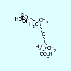 CC(C)(CCCCOCCCCC(C)(C)CCC(=O)O)CCCCOP(=O)(O)O